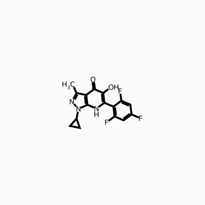 Cc1nn(C2CC2)c2[nH]c(-c3c(F)cc(F)cc3F)c(O)c(=O)c12